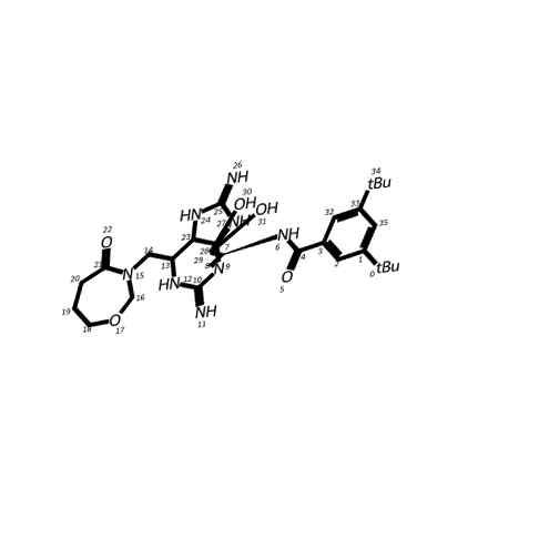 CC(C)(C)c1cc(C(=O)N[C@H]2CN3C(=N)NC(CN4COCCCC4=O)C4NC(=N)NC43C2(O)O)cc(C(C)(C)C)c1